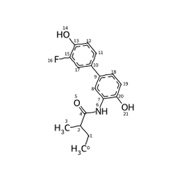 CCC(C)C(=O)Nc1cc(-c2ccc(O)c(F)c2)ccc1O